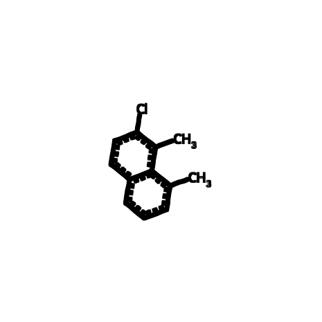 Cc1cccc2ccc(Cl)c(C)c12